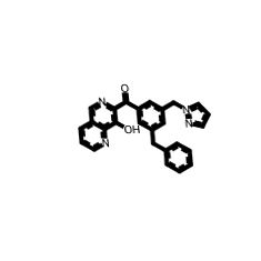 O=C(c1cc(Cc2ccccc2)cc(Cn2cccn2)c1)c1ncc2cccnc2c1O